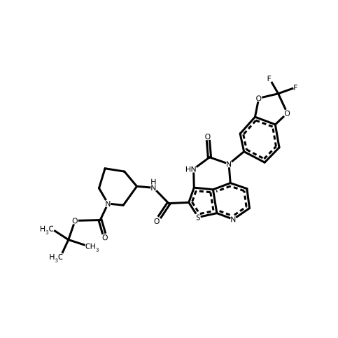 CC(C)(C)OC(=O)N1CCCC(NC(=O)c2sc3nccc4c3c2NC(=O)N4c2ccc3c(c2)OC(F)(F)O3)C1